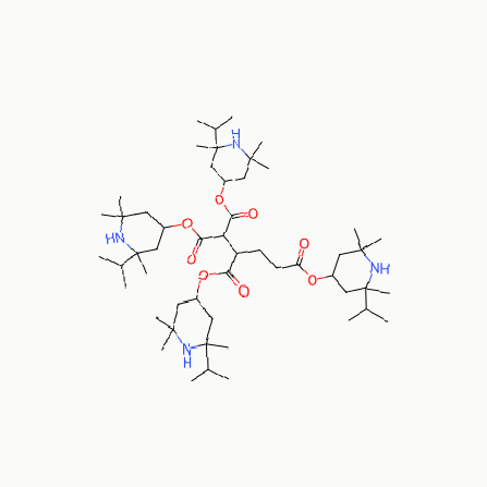 CC(C)C1(C)CC(OC(=O)CCC(C(=O)OC2CC(C)(C)NC(C)(C(C)C)C2)C(C(=O)OC2CC(C)(C)NC(C)(C(C)C)C2)C(=O)OC2CC(C)(C)NC(C)(C(C)C)C2)CC(C)(C)N1